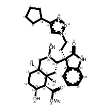 COC(=O)[C@@H]1[C@H]2C[C@@H]([C@@]3(CCn4cc(C5CCCC5)nn4)C(=O)Nc4ccccc43)N(C#N)C[C@@H]2CC[C@@H]1O